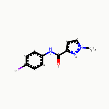 Cn1ccc(C(=O)Nc2ccc(I)cc2)n1